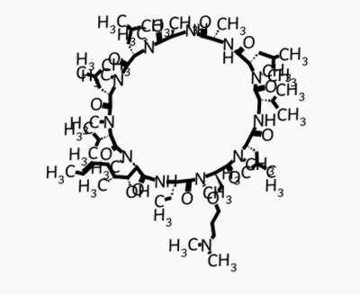 C/C=C/C[C@@H](C)[C@@H](O)[C@H]1C(=O)N[C@@H](CC)C(=O)N(C)[C@H](COCCCN(C)C)C(=O)N(C)[C@@H](CC(C)C)C(=O)N[C@@H](C(C)C)C(=O)N(C)[C@@H](CC(C)C)C(=O)N[C@@H](C)C(=O)N[C@H](C)C(=O)N(C)[C@@H](CC(C)C)C(=O)N(C)[C@@H](CC(C)C)C(=O)N(C)[C@@H](C(C)C)C(=O)N1C